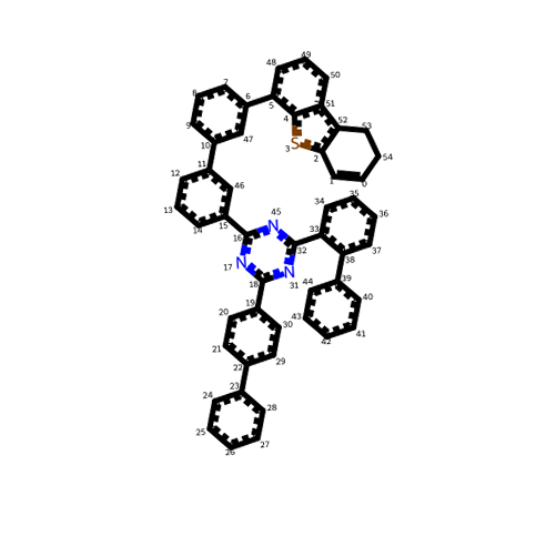 C1=Cc2sc3c(-c4cccc(-c5cccc(-c6nc(-c7ccc(-c8ccccc8)cc7)nc(-c7ccccc7-c7ccccc7)n6)c5)c4)cccc3c2CC1